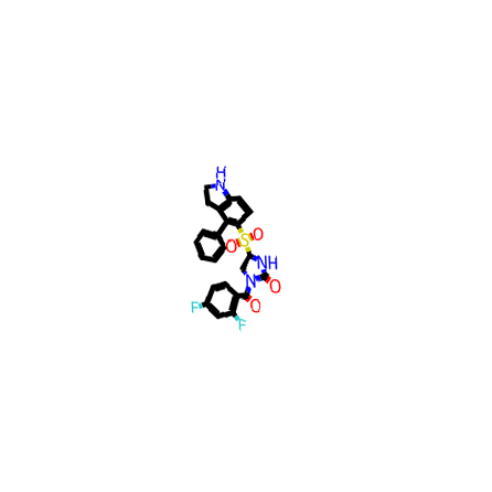 O=C1NC(S(=O)(=O)c2ccc3c(c2-c2ccccc2)CCN3)CN1C(=O)c1ccc(F)cc1F